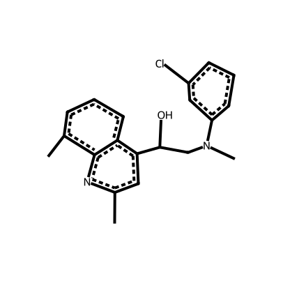 Cc1cc(C(O)CN(C)c2cccc(Cl)c2)c2cccc(C)c2n1